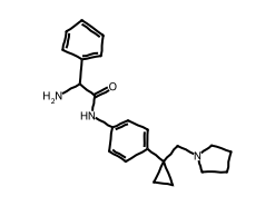 NC(C(=O)Nc1ccc(C2(CN3CCCC3)CC2)cc1)c1ccccc1